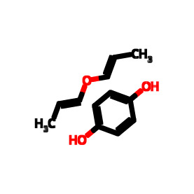 CC=COC=CC.Oc1ccc(O)cc1